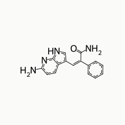 NC(=O)C(=Cc1c[nH]c2nc(N)ccc12)c1ccccc1